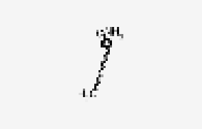 CCCCCCCCCCCCc1ccc(C(N)=O)cc1